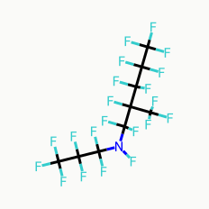 FN(C(F)(F)C(F)(F)C(F)(F)F)C(F)(F)C(F)(C(F)(F)F)C(F)(F)C(F)(F)C(F)(F)F